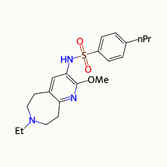 CCCc1ccc(S(=O)(=O)Nc2cc3c(nc2OC)CCN(CC)CC3)cc1